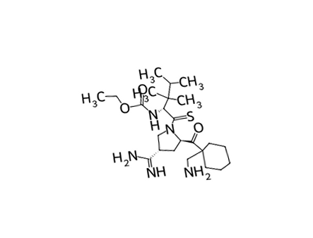 CCOC(=O)N[C@@H](C(=S)N1C[C@@H](C(=N)N)C[C@@H]1C(=O)C1(CN)CCCCC1)C(C)(C)C(C)C